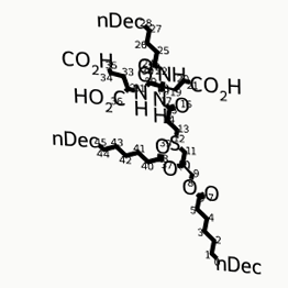 CCCCCCCCCCCCCCCC(=O)OC[C@H](CSCCC(=O)N[C@@](CCC(=O)O)(NC(=O)CCCCCCCCCCCCC)C(=O)NC(CCC(=O)O)C(=O)O)OC(=O)CCCCCCCCCCCCCCC